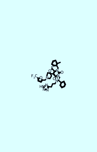 Cc1cccc(F)c1Cn1c2c(c(=O)n(C[C@H](NCCCc3nn[nH]n3)c3ccccc3)c1=O)C1(CCN(Cc3ccc(C(F)(F)F)o3)CC1)OC2